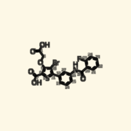 O=C(O)COc1c(C(=O)O)sc(-c2cccc(NC(=O)c3ccccc3F)c2)c1Br